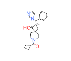 O=C(C1CCC1)N1CCC2(CC1)C[C@@H](C1c3ccccc3-c3cncn31)[C@H]2O